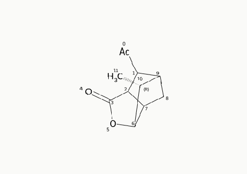 CC(=O)C1C2C(=O)OC3C2CC1[C@H]3C